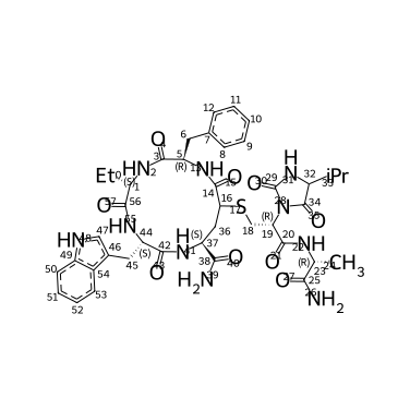 CC[C@@H]1NC(=O)[C@@H](Cc2ccccc2)NC(=O)C(SC[C@@H](C(=O)N[C@H](C)C(N)=O)N2C(=O)NC(C(C)C)C2=O)C[C@@H](C(N)=O)NC(=O)[C@H](Cc2c[nH]c3ccccc23)NC1=O